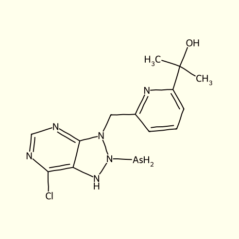 CC(C)(O)c1cccc(CN2c3ncnc(Cl)c3NN2[AsH2])n1